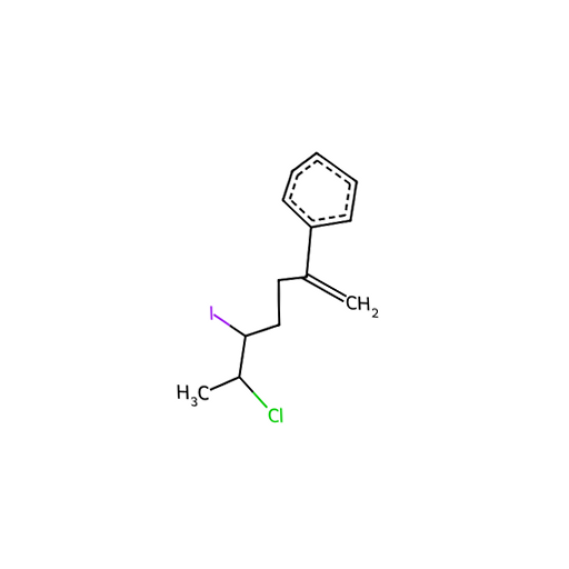 C=C(CCC(I)C(C)Cl)c1ccccc1